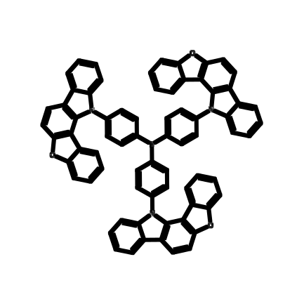 c1ccc2c(c1)oc1ccc3c4ccccc4n(-c4ccc(B(c5ccc(-n6c7ccccc7c7ccc8oc9ccccc9c8c76)cc5)c5ccc(-n6c7ccccc7c7ccc8oc9ccccc9c8c76)cc5)cc4)c3c12